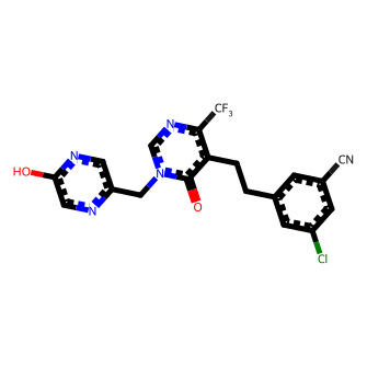 N#Cc1cc(Cl)cc(CCc2c(C(F)(F)F)ncn(Cc3cnc(O)cn3)c2=O)c1